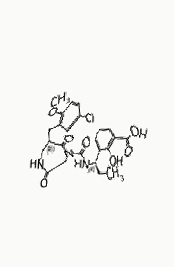 CC[C@@H](NC(=O)N1CC(=O)NC[C@@H](Cc2cc(Cl)ccc2OC)C1=O)c1cccc(C(=O)O)c1O